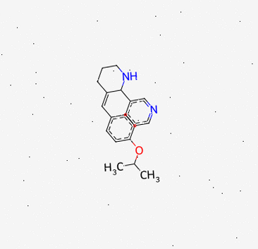 CC(C)Oc1ccc(/C=C2/CCCNC2c2cccnc2)cc1